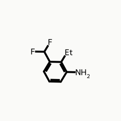 CCc1c(N)cccc1C(F)F